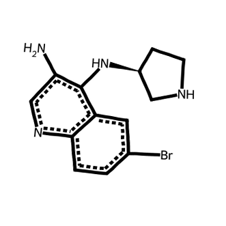 Nc1cnc2ccc(Br)cc2c1N[C@H]1CCNC1